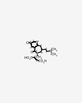 CN(C)CCC1Cc2ncc(Cl)cc2C(=O)N(C)C1.O=C(O)C=CC(=O)O